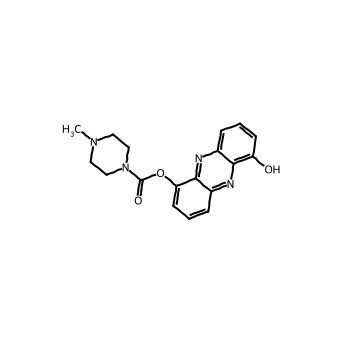 CN1CCN(C(=O)Oc2cccc3nc4c(O)cccc4nc23)CC1